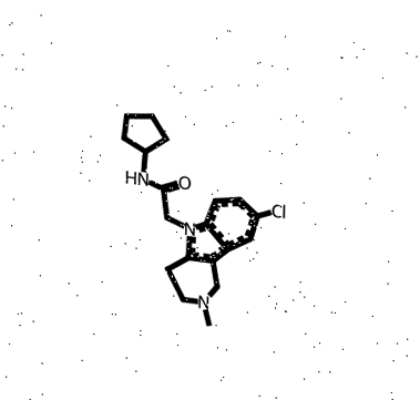 CN1CCc2c(c3cc(Cl)ccc3n2CC(=O)NC2CCCC2)C1